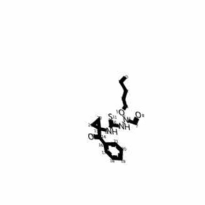 CCCCCON(C=O)NC(=S)NC1(C(=O)c2ccccc2)CC1